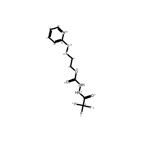 O=C(NNC(=O)C(F)(F)F)OCCSSc1ccccn1